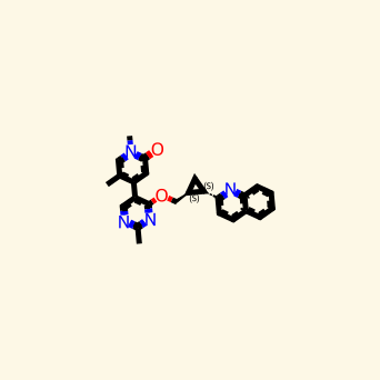 Cc1ncc(-c2cc(=O)n(C)cc2C)c(OC[C@H]2C[C@@H]2c2ccc3ccccc3n2)n1